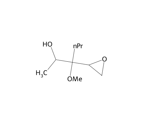 CCCC(OC)(C(C)O)C1CO1